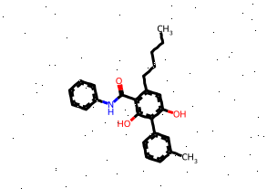 CCCCCc1cc(O)c(-c2cccc(C)c2)c(O)c1C(=O)Nc1ccccc1